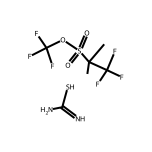 CC(C)(C(F)(F)F)S(=O)(=O)OC(F)(F)F.N=C(N)S